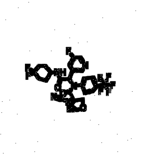 N#CN1CC2C[C@@]1(C(=O)N(c1ccc(S(F)(F)(F)(F)F)cc1)C(C(=O)NC1CCC(F)(F)CC1)c1cncc(F)c1)CO2